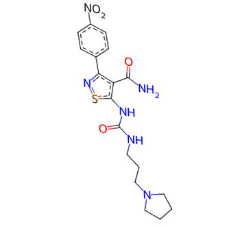 NC(=O)c1c(-c2ccc([N+](=O)[O-])cc2)nsc1NC(=O)NCCCN1CCCC1